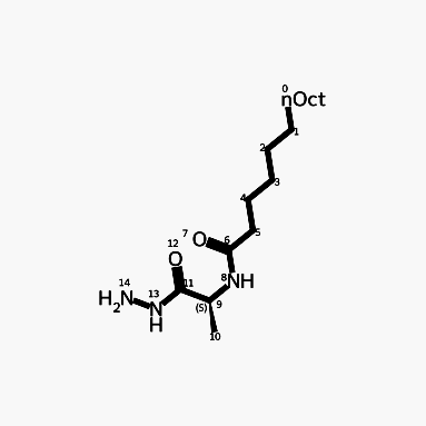 CCCCCCCCCCCCCC(=O)N[C@@H](C)C(=O)NN